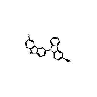 N#Cc1ccc2c(c1)c1ccccc1n2-c1ccc2[nH]c3ccc(Br)cc3c2c1